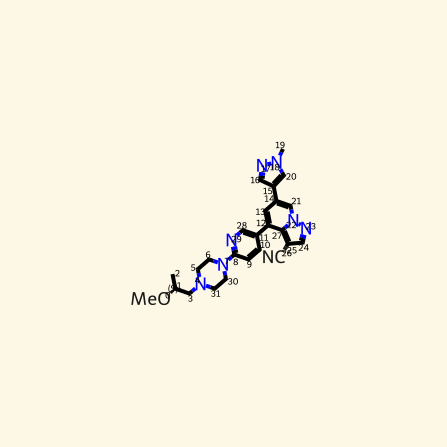 CO[C@@H](C)CN1CCN(c2ccc(-c3cc(-c4cnn(C)c4)cn4ncc(C#N)c34)cn2)CC1